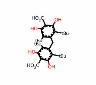 CC(C)(C)c1c(O)c(C(=O)O)c(O)c(C(C)(C)C)c1Cc1c(C(C)(C)C)c(O)c(C(=O)O)c(O)c1C(C)(C)C